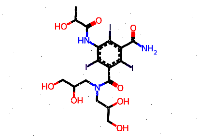 CC(O)C(=O)Nc1c(I)c(C(N)=O)c(I)c(C(=O)N(CC(O)CO)CC(O)CO)c1I